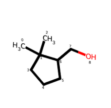 CC1(C)CCCC1CO